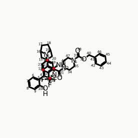 Nc1nnc(-c2ccccc2O)cc1N1CC2CCC(C1)N2c1ccc(C(F)(F)F)c(C(=O)N2CCN(C(=O)OCc3ccccc3)CC2)c1